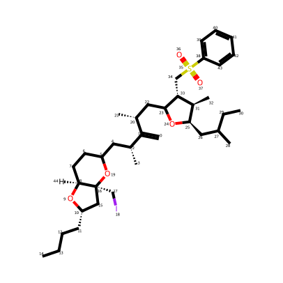 C=C([C@H](C)CC1CC[C@@H]2O[C@@H](CCCC)C[C@]2(CI)O1)[C@H](C)CC1O[C@H](CC(C)CC)[C@H](C)[C@H]1CS(=O)(=O)c1ccccc1